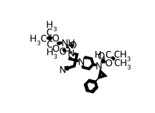 CC(C)(C)OC(=O)NS(=O)(=O)N1CC(CC#N)(N2CCC(N(C(=O)OC(C)(C)C)[C@H]3C[C@H]3c3ccccc3)CC2)C1